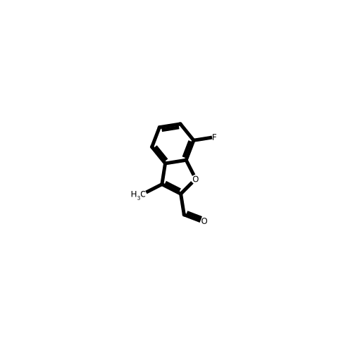 Cc1c(C=O)oc2c(F)cccc12